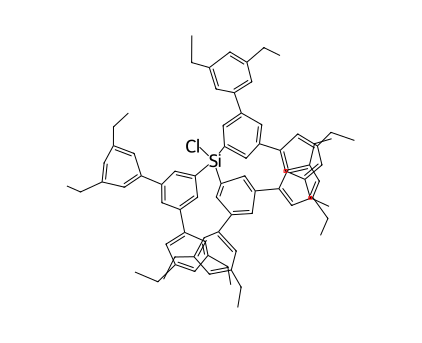 CCc1cc(CC)cc(-c2cc(-c3cc(CC)cc(CC)c3)cc([Si](Cl)(c3cc(-c4cc(CC)cc(CC)c4)cc(-c4cc(CC)cc(CC)c4)c3)c3cc(-c4cc(CC)cc(CC)c4)cc(-c4cc(CC)cc(CC)c4)c3)c2)c1